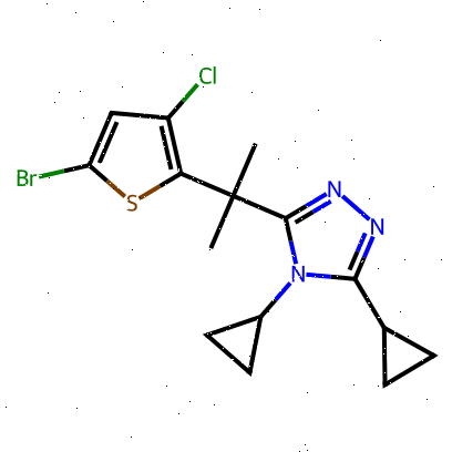 CC(C)(c1sc(Br)cc1Cl)c1nnc(C2CC2)n1C1CC1